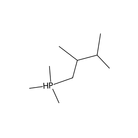 CC(C)C(C)C[PH](C)(C)C